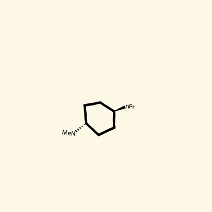 CCC[C@H]1CC[C@H](NC)CC1